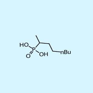 CCCCCCC(C)P(=O)(O)O